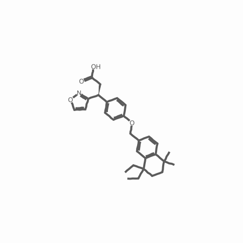 CCC1(CC)CCC(C)(C)c2ccc(COc3ccc([C@H](CC(=O)O)c4ccon4)cc3)cc21